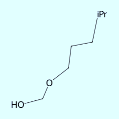 CC(C)CCCOCO